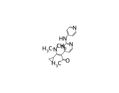 CC(=O)C(=C(C1CC1)N(C)C)c1ccnc(Nc2ccncc2)n1